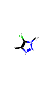 Cc1nnn(C(C)C)c1Cl